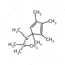 CC1=[C]C(C)([Si](C)[Si](C)(C)C)C(C)=C1C